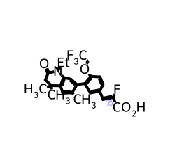 CCN1C(=O)CC(C)(C)c2cc(C)c(-c3cc(/C=C(\F)C(=O)O)ccc3OCC(F)(F)F)cc21